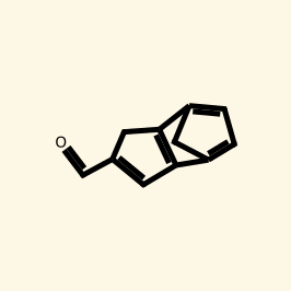 O=CC1=CC2=C(C1)C1=CC=C2C1